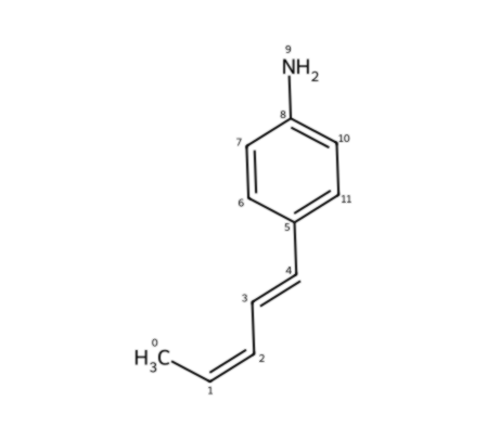 C/C=C\C=C\c1ccc(N)cc1